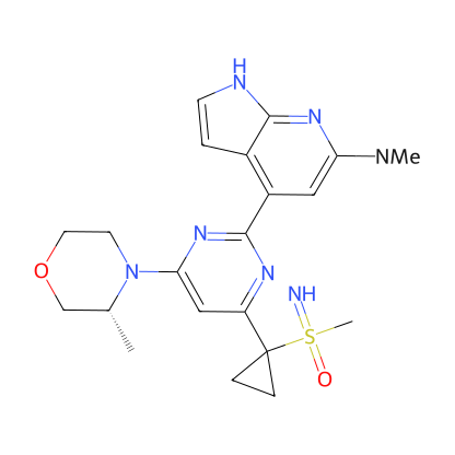 CNc1cc(-c2nc(N3CCOC[C@H]3C)cc(C3(S(C)(=N)=O)CC3)n2)c2cc[nH]c2n1